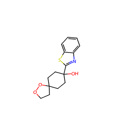 OC1(c2nc3ccccc3s2)CCC2(CCOO2)CC1